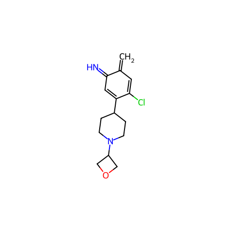 C=C1C=C(Cl)C(C2CCN(C3COC3)CC2)=CC1=N